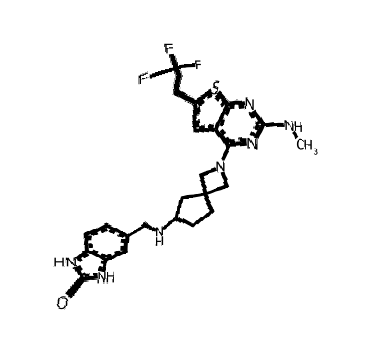 CNc1nc(N2CC3(CCC(NCc4ccc5[nH]c(=O)[nH]c5c4)C3)C2)c2cc(CC(F)(F)F)sc2n1